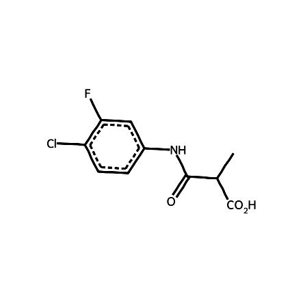 CC(C(=O)O)C(=O)Nc1ccc(Cl)c(F)c1